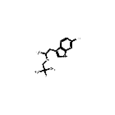 CC(Cc1c[nH]c2cc(O)ccc12)NCC(C)(C)F